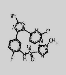 CC(C)c1nc(-c2ccc(F)c(NS(=O)(=O)c3cn(C)cn3)c2)c(-c2ccnc(Cl)n2)s1